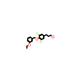 CCOc1cccc(COc2c(F)cc(CCC=O)cc2F)c1